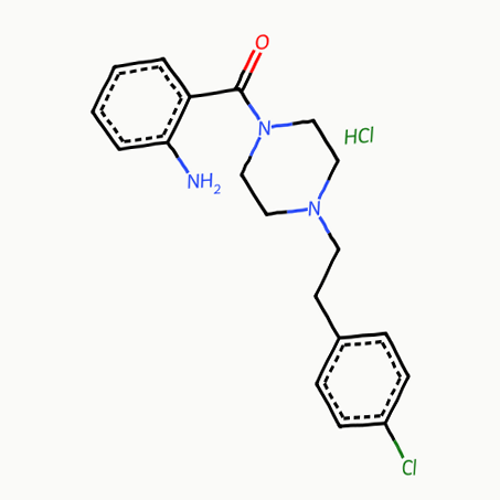 Cl.Nc1ccccc1C(=O)N1CCN(CCc2ccc(Cl)cc2)CC1